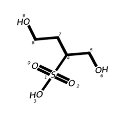 O=S(=O)(O)C(CO)CCO